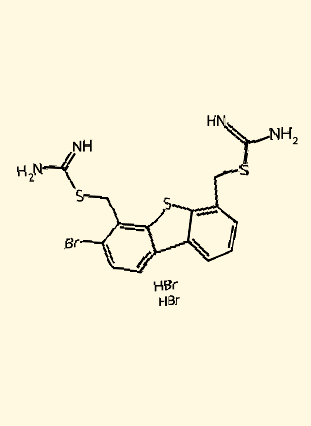 Br.Br.N=C(N)SCc1cccc2c1sc1c(CSC(=N)N)c(Br)ccc12